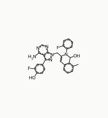 Cc1cccc2c1C(O)N(c1ccccc1F)C(Cn1nc(-c3ccc(O)c(F)c3)c3c(N)ncnc31)=C2